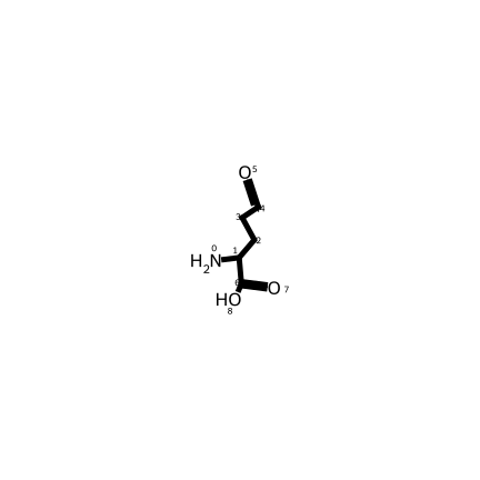 NC(CC[C]=O)C(=O)O